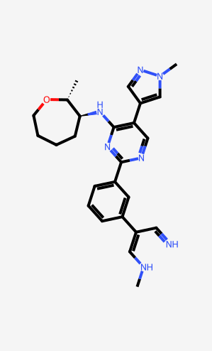 CN/C=C(\C=N)c1cccc(-c2ncc(-c3cnn(C)c3)c(N[C@H]3CCCCO[C@@H]3C)n2)c1